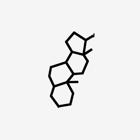 CC12CCC3C(CCC4C[CH]CCC43C)C1CCC2I